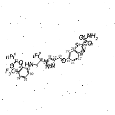 CCCC(=O)Oc1c(NC[C@@H](C(C)C)n2cc(COc3ccc4nc(S(N)(=O)=O)sc4c3)nn2)cccc1C(F)(F)F